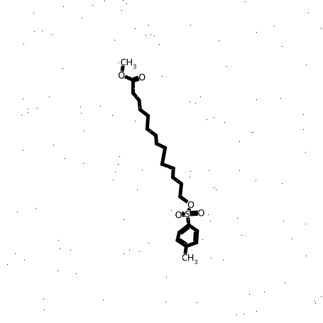 COC(=O)CCCCCCCCCCCCCOS(=O)(=O)c1ccc(C)cc1